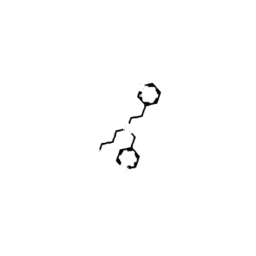 ClCCCN(CCc1cccnc1)Cc1ccncc1